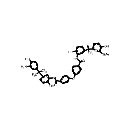 CNc1cc(C(c2ccc(O)c(NC(=O)c3ccc(Oc4ccc(C(=O)Nc5cc(C(c6ccc(O)c(N)c6)(C(F)(F)F)C(F)(F)F)ccc5O)cc4)cc3)c2)(C(F)(F)F)C(F)(F)F)ccc1O